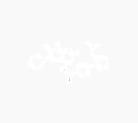 Cc1nc(N[C@H](C)c2ccc(-c3ccccc3CN(C)C)cc2)c2cc(N3CCOCC3)c(=O)n(C)c2n1